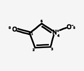 O=C1C=C[N+]([O-])=C1